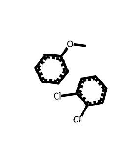 COc1ccccc1.Clc1ccccc1Cl